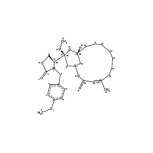 COc1ccc(CN2C(=O)SC[C@H]2[C@@]2(OC)CC3C[C@@H](CCCCCCC/C(C)=C\C(=O)O3)O2)cc1